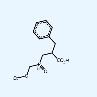 CCOC[PH](=O)CC(Cc1ccccc1)C(=O)O